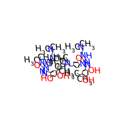 CC(C)NC(=O)c1nnc(-c2cc(C(C)C)c(O)cc2O)n1-c1ccc(N(C)CCN(C)C)cc1.CCN(CC)Cc1ccc(-n2c(C(=O)NCCN(C)C)nnc2-c2cc(C(C)C)c(O)cc2O)cc1